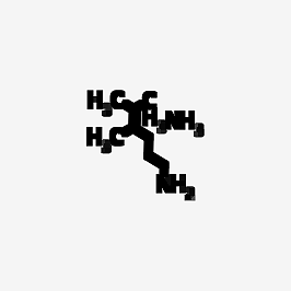 CC(C)=C(C)CCCN.N